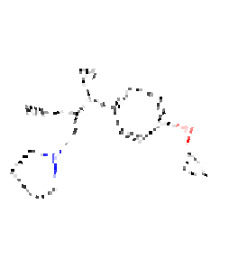 CNC(CN1CCCC1)C(C)c1ccc(OC2CC2)cc1